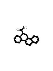 [CH2]CC(=O)C1Cc2c(ccc3ccccc23)-c2ccccc21